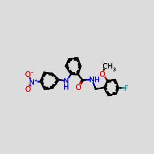 COc1cc(F)ccc1CNC(=O)c1ccccc1Nc1ccc([N+](=O)[O-])cc1